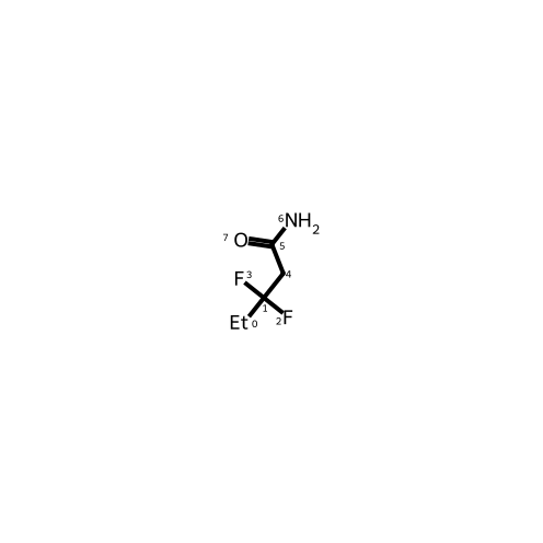 CCC(F)(F)CC(N)=O